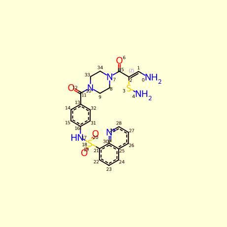 N/C=C(\SN)C(=O)N1CCN(C(=O)c2ccc(NS(=O)(=O)c3cccc4cccnc34)cc2)CC1